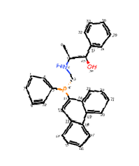 C[C@H](NC[P@@](c1ccccc1)c1cc2ccccc2c2ccccc12)[C@H](O)c1ccccc1